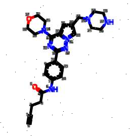 C#CCCC(=O)Nc1ccc(-c2nc(N3CCOCC3)c3cc(CN4CCNCC4)cn3n2)cc1